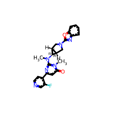 CN(c1nc(-c2ccncc2F)cc(=O)n1C)[C@H]1[C@@H]2CN(c3nc4ccccc4o3)C[C@@H]21